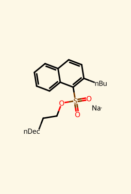 CCCCCCCCCCCCOS(=O)(=O)c1c(CCCC)ccc2ccccc12.[Na]